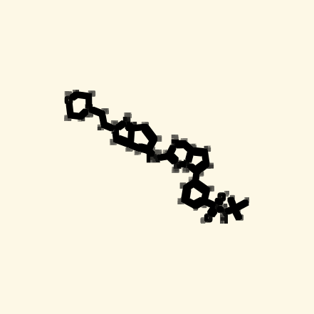 CC(C)(C)NS(=O)(=O)c1cccc(-c2ccc3cnc(Nc4ccc5nn(CCN6CCOCC6)cc5c4)nn23)c1